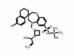 C=CC(O)[C@@H]1CC[C@H]1CN1C[C@@]2(CCCc3cc(Cl)ccc32)COc2ccc(S(=O)(=O)N[Si](C)(C)C(C)(C)C)cc21